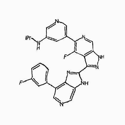 CC(C)Nc1cncc(-c2ncc3[nH]nc(-c4nc5c(-c6cccc(F)c6)cncc5[nH]4)c3c2F)c1